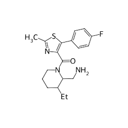 CCC1CCCN(C(=O)c2nc(C)sc2-c2ccc(F)cc2)C1CN